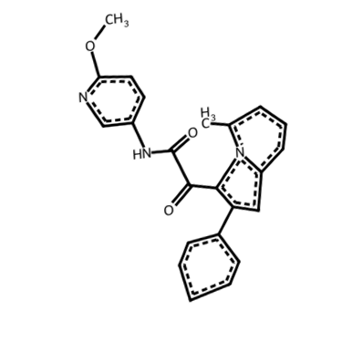 COc1ccc(NC(=O)C(=O)c2c(-c3ccccc3)cc3cccc(C)n23)cn1